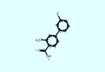 Cc1cc(-c2cccc(F)c2)ccc1C(=O)O